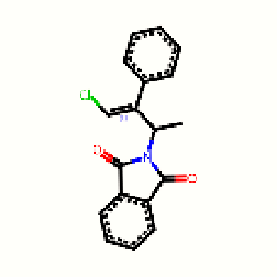 CC(/C(=C/Cl)c1ccccc1)N1C(=O)c2ccccc2C1=O